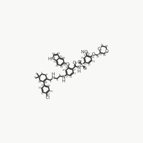 CC1(C)CCC(CNCCNc2ccc(C(=O)NS(=O)(=O)c3ccc(OC[C@@H]4COCCO4)c([N+](=O)[O-])c3)c(Oc3ccc4[nH]ccc4c3)c2)=C(c2ccc(Cl)cc2)C1